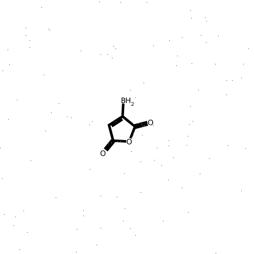 BC1=CC(=O)OC1=O